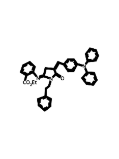 CCOC(=O)c1ccccc1N=C1C/C(=C/c2ccc(N(c3ccccc3)c3ccccc3)cc2)C(=O)N1CCc1ccccc1